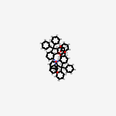 c1ccc(N(c2cccc3c2-c2ccccc2C3(c2ccccc2)c2ccccc2)c2c(C3(c4ccccc4)c4ccccc4-c4ccccc43)ccc3c2oc2ccccc23)cc1